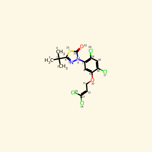 CC(C)(C)c1nn(-c2cc(OCC=C(Cl)Cl)c(Cl)cc2Cl)c(=O)s1